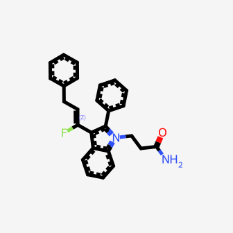 NC(=O)CCn1c(-c2ccccc2)c(/C(F)=C/Cc2ccccc2)c2ccccc21